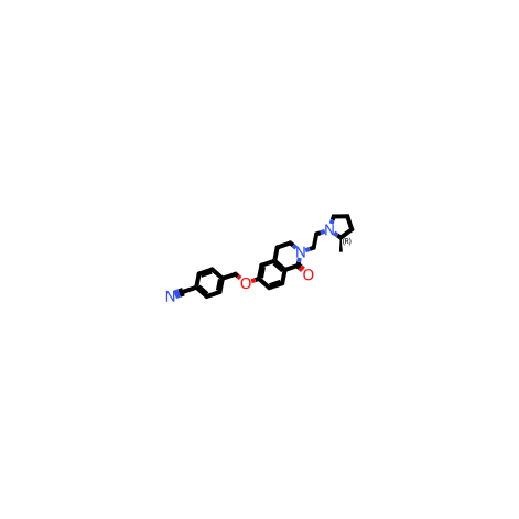 C[C@@H]1CCCN1CCN1CCc2cc(OCc3ccc(C#N)cc3)ccc2C1=O